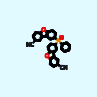 N#Cc1ccc2oc3ccc(P(=O)(c4ccccc4)c4ccc5oc6ccc(C#N)cc6c5c4)cc3c2c1